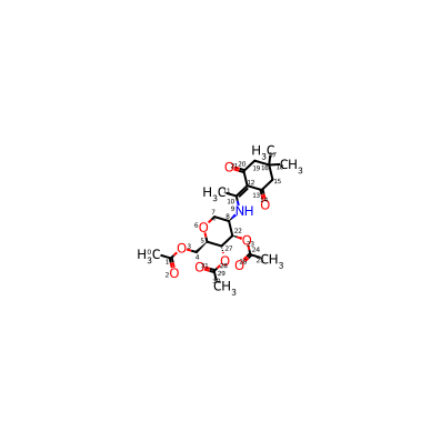 CC(=O)OC[C@H]1O[CH][C@@H](NC(C)=C2C(=O)CC(C)(C)CC2=O)[C@@H](OC(C)=O)[C@@H]1OC(C)=O